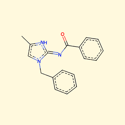 Cc1cn(Cc2ccccc2)/c(=N/C(=O)c2ccccc2)[nH]1